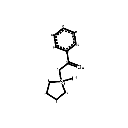 O=C(CS1(I)CCCC1)c1ccccc1